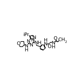 C=CC(=O)NCC(=O)Nc1cccc(CNc2nc(NC3CCOCC3)nc3c(C(C)C)cnn23)c1